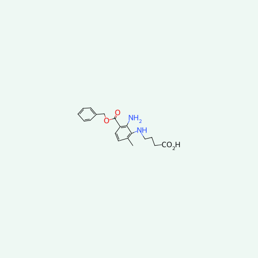 Cc1ccc(C(=O)OCc2ccccc2)c(N)c1NCCCC(=O)O